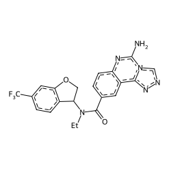 CCN(C(=O)c1ccc2nc(N)n3cnnc3c2c1)C1COc2cc(C(F)(F)F)ccc21